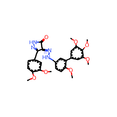 COc1ccc(C2=NNC(=O)/C2=N/Nc2ccc(OC)c(-c3cc(OC)c(OC)c(OC)c3)c2)cc1OC